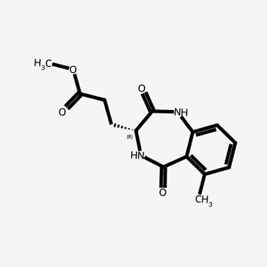 COC(=O)CC[C@H]1NC(=O)c2c(C)cccc2NC1=O